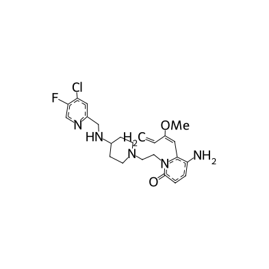 C=C/C(=C\c1c(N)ccc(=O)n1CCN1CCC(NCc2cc(Cl)c(F)cn2)CC1)OC